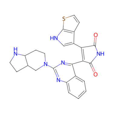 O=C1NC(=O)C(c2c[nH]c3sccc23)=C1c1nc(N2CCC3NCCC3C2)nc2ccccc12